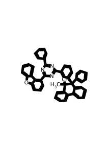 CC1(C)c2ccccc2-c2ccccc2C1(c1ccccc1)c1cccc(-c2nc(-c3ccccc3)nc(-c3cccc4oc5ccccc5c34)n2)c1